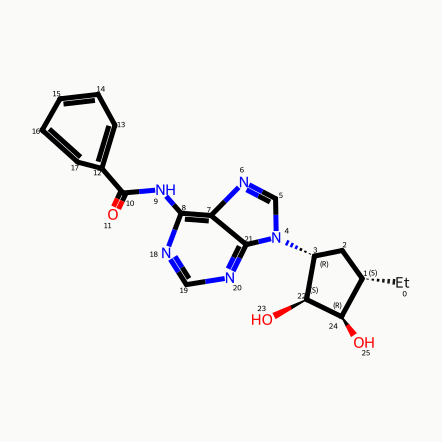 CC[C@H]1C[C@@H](n2cnc3c(NC(=O)c4ccccc4)ncnc32)[C@H](O)[C@@H]1O